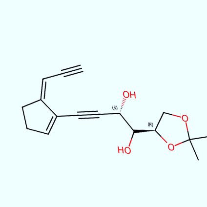 C#CC=C1CCC=C1C#C[C@H](O)C(O)[C@H]1COC(C)(C)O1